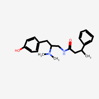 CC(CC(=O)NCC(Cc1ccc(O)cc1)N(C)C)c1ccccc1